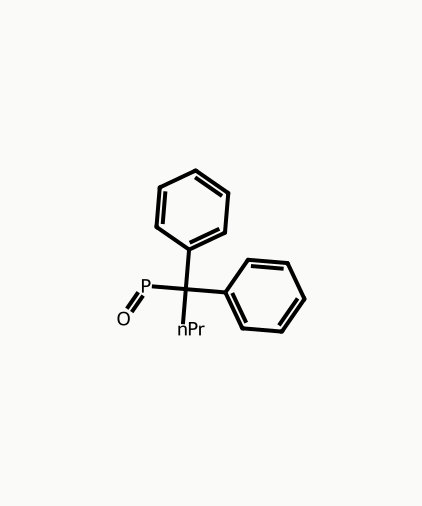 CCCC(P=O)(c1ccccc1)c1ccccc1